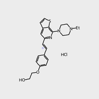 CCN1CCN(c2nc(/C=C/c3ccc(OCCO)cc3)cc3ccsc23)CC1.Cl